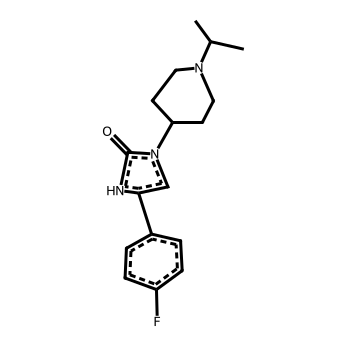 CC(C)N1CCC(n2cc(-c3ccc(F)cc3)[nH]c2=O)CC1